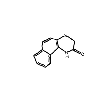 O=C1CSc2ccc3ccccc3c2N1